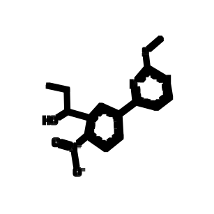 CCC(O)c1cc(-c2ccnc(SC)n2)ccc1[N+](=O)[O-]